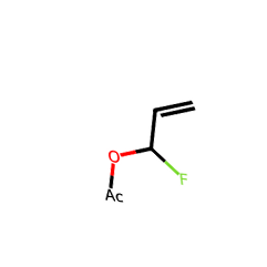 C=CC(F)OC(C)=O